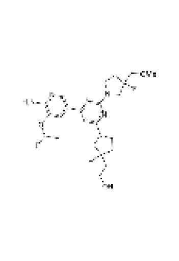 COCC1(F)CCN(c2nc(-c3cnc(N)c(OC(F)F)c3)cc(N3CCC(F)(CCO)C3)n2)C1